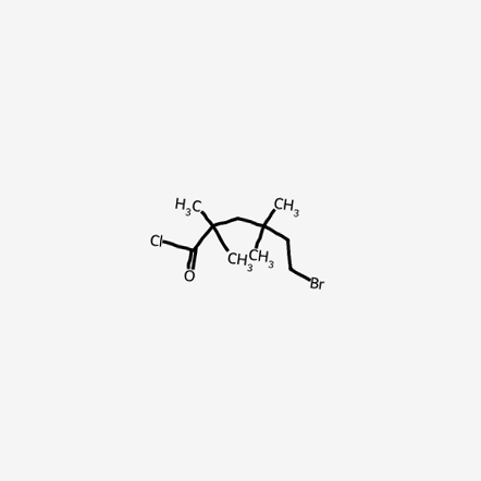 CC(C)(CCBr)CC(C)(C)C(=O)Cl